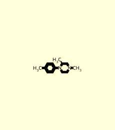 Cc1ccc(N2CCN(C)C[C@@H]2C)cc1